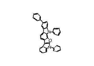 c1ccc(-c2ccc3c(c2)c2ccc4c(oc5c4c4ccccc4n5-c4ccccc4)c2n3-c2ccccc2)cc1